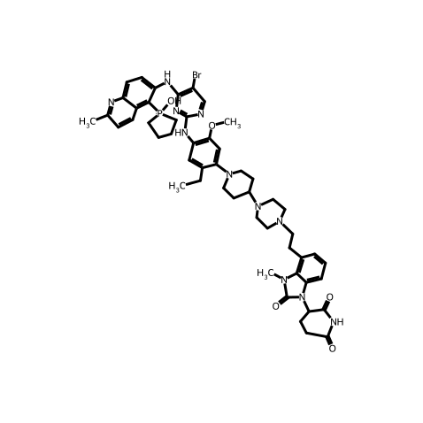 CCc1cc(Nc2ncc(Br)c(Nc3ccc4nc(C)ccc4c3[P]3(O)CCCC3)n2)c(OC)cc1N1CCC(N2CCN(CCc3cccc4c3n(C)c(=O)n4C3CCC(=O)NC3=O)CC2)CC1